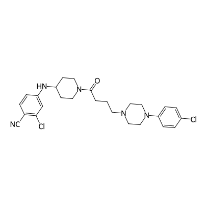 N#Cc1ccc(NC2CCN(C(=O)CCCN3CCN(c4ccc(Cl)cc4)CC3)CC2)cc1Cl